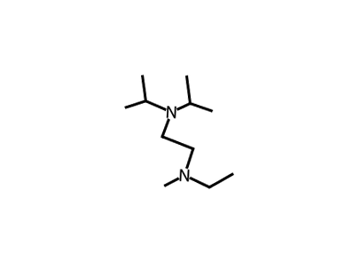 CCN(C)CCN(C(C)C)C(C)C